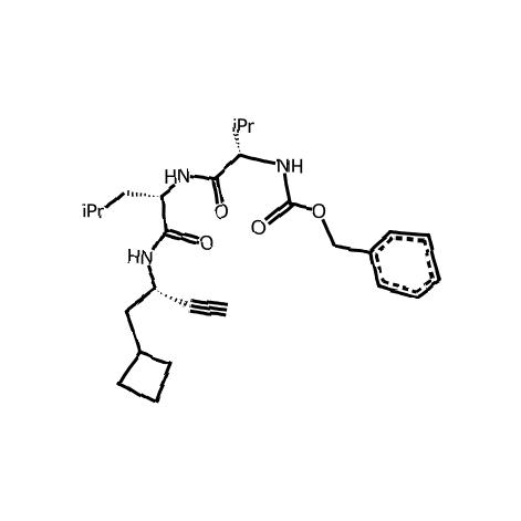 C#C[C@H](CC1CCC1)NC(=O)[C@H](CC(C)C)NC(=O)[C@@H](NC(=O)OCc1ccccc1)C(C)C